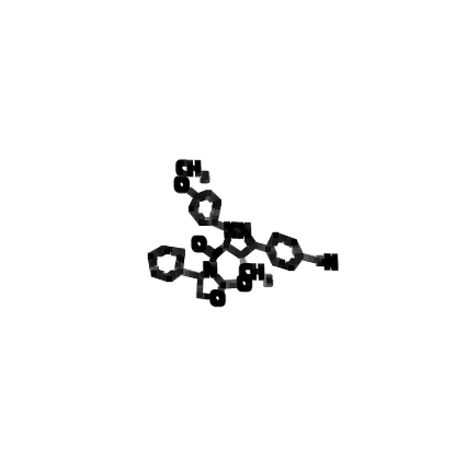 COc1ccc(N2N=C(c3ccc(C#N)cc3)[C@H](C)[C@H]2C(=O)N2C(=O)OCC2c2ccccc2)cc1